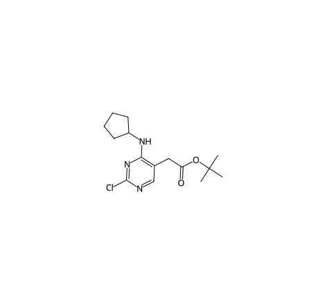 CC(C)(C)OC(=O)Cc1cnc(Cl)nc1NC1CCCC1